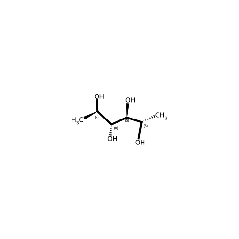 C[C@H](O)[C@H](O)[C@H](O)[C@@H](C)O